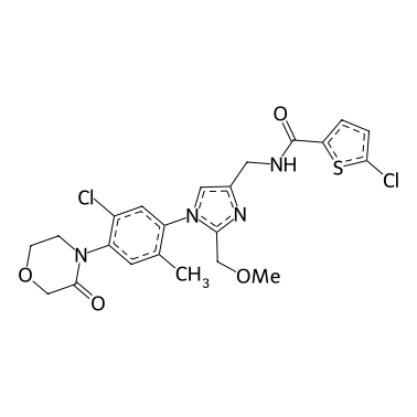 COCc1nc(CNC(=O)c2ccc(Cl)s2)cn1-c1cc(Cl)c(N2CCOCC2=O)cc1C